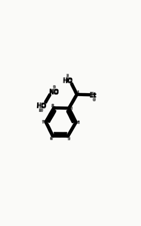 CCC(O)c1ccccc1.O=NO